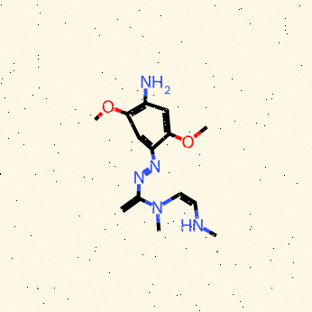 C=C(N=Nc1cc(OC)c(N)cc1OC)N(C)/C=C\NC